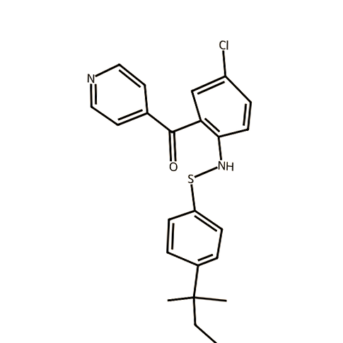 CCC(C)(C)c1ccc(SNc2ccc(Cl)cc2C(=O)c2ccncc2)cc1